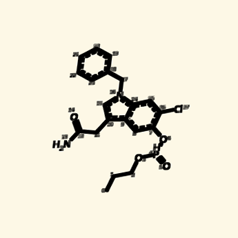 CCCO[PH](=O)Oc1cc2c(CC(N)=O)cn(Cc3ccccc3)c2cc1Cl